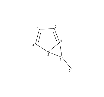 CC1[C]2C=CC=C21